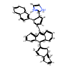 c1ccc2cc(-c3cc(-c4c5ccccc5c(-c5ccc6ccccc6c5)c5ccccc45)ccc3-c3ncc[nH]3)ccc2c1